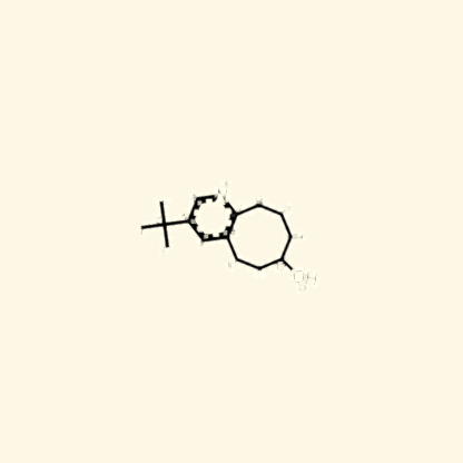 CC(C)(C)c1cnc2c(c1)CCC(O)CCC2